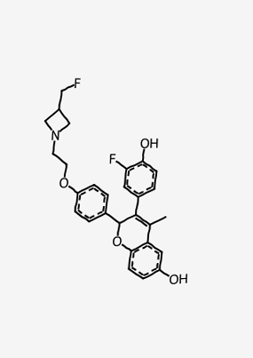 CC1=C(c2ccc(O)c(F)c2)C(c2ccc(OCCN3CC(CF)C3)cc2)Oc2ccc(O)cc21